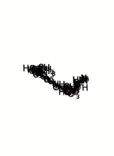 Cc1cc(OCCCC(=O)NCCCOCCOCCOCCCNC(=O)[C@@H](CS(=O)(=O)O)NC(=O)OC(C)(C)C)cc(C)c1S(=O)(=O)N[C@@H](CNC(=O)c1ccc2c(cnn2CCCNc2ncc[nH]2)c1)C(=O)O